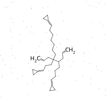 C=CCC(CCCC=C1CC1)C(CC=C)(CCC=C1CC1)CCCCCCC=C1CC1